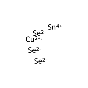 [Cu+2].[Se-2].[Se-2].[Se-2].[Sn+4]